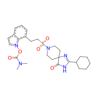 CN(C)C(=O)On1ccc2cccc(CCS(=O)(=O)N3CCC4(CC3)N=C(C3CCCCC3)NC4=O)c21